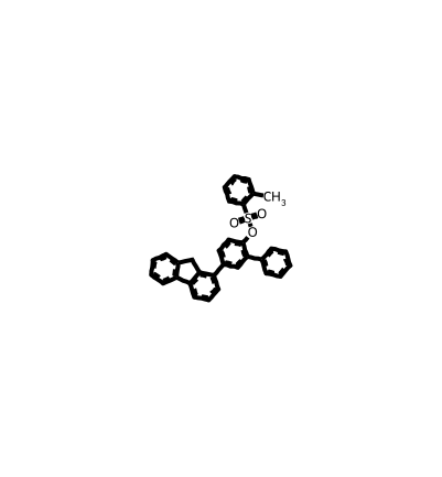 Cc1ccccc1S(=O)(=O)Oc1ccc(-c2cccc3c2Cc2ccccc2-3)cc1-c1ccccc1